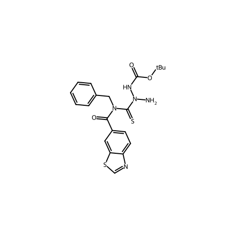 CC(C)(C)OC(=O)NN(N)C(=S)N(Cc1ccccc1)C(=O)c1ccc2ncsc2c1